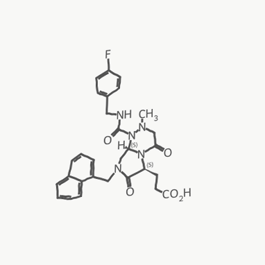 CN1CC(=O)N2[C@@H](CCC(=O)O)C(=O)N(Cc3cccc4ccccc34)C[C@@H]2N1C(=O)NCc1ccc(F)cc1